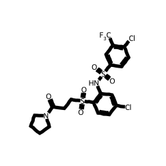 O=C(CCS(=O)(=O)c1ccc(Cl)cc1NS(=O)(=O)c1ccc(Cl)c(C(F)(F)F)c1)N1CCCC1